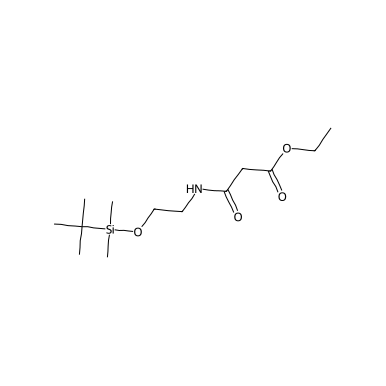 CCOC(=O)CC(=O)NCCO[Si](C)(C)C(C)(C)C